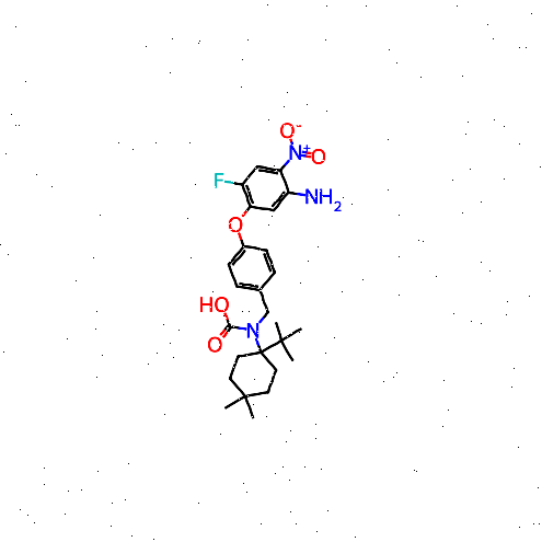 CC1(C)CCC(N(Cc2ccc(Oc3cc(N)c([N+](=O)[O-])cc3F)cc2)C(=O)O)(C(C)(C)C)CC1